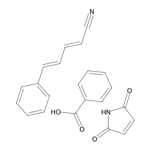 N#CC=CC=Cc1ccccc1.O=C(O)c1ccccc1.O=C1C=CC(=O)N1